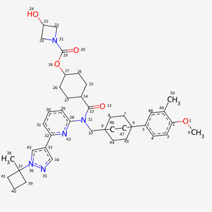 COc1ccc(C23CCC(CN(C(=O)C4CCC(OC(=O)N5CC(O)C5)CC4)c4cccc(-c5cnn(C6(C)CCC6)c5)n4)(CC2)CC3)cc1C